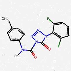 CCN(C(=O)n1nnn(-c2c(F)cccc2F)c1=O)c1ccc(C=O)cc1